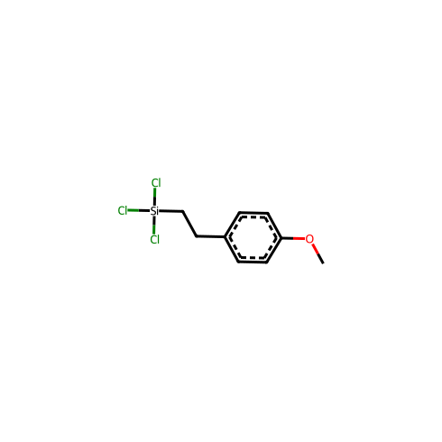 COc1ccc(CC[Si](Cl)(Cl)Cl)cc1